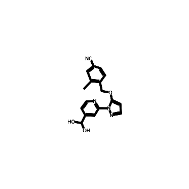 Cc1cc(C#N)ccc1COc1ccnn1-c1cc(C(O)O)ccn1